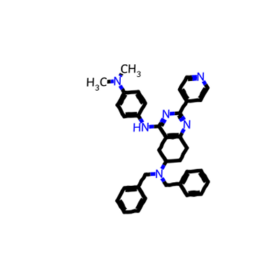 CN(C)c1ccc(Nc2nc(-c3ccncc3)nc3c2CC(N(Cc2ccccc2)Cc2ccccc2)CC3)cc1